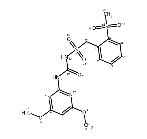 COc1cc(OC)nc(NC(=O)NS(=O)(=O)Cc2ccccc2S(C)(=O)=O)n1